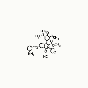 COC(=O)c1c(-c2cc(OC)c(OC)c(OC)c2)c2ccc(OCc3cccc(N)c3)cc2c(=O)n1N1CCOCC1.Cl